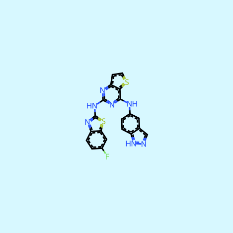 Fc1ccc2nc(Nc3nc(Nc4ccc5[nH]ncc5c4)c4sccc4n3)sc2c1